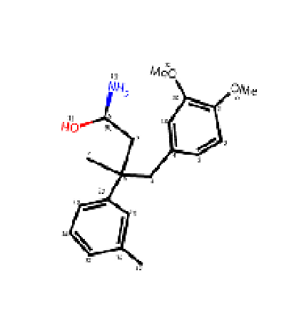 COc1ccc(CC(C)(C[C@H](N)O)c2cccc(C)c2)cc1OC